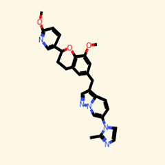 COc1ccc(C2CCc3cc(Cc4cnn5cc(-n6ccnc6C)ccc45)cc(OC)c3O2)cn1